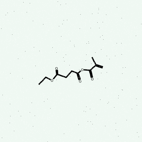 C=C(C)C(=O)OC(=O)CCC(=O)OCC